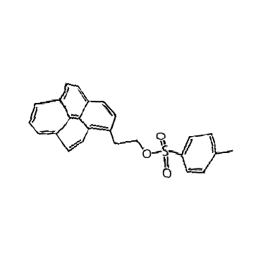 Cc1ccc(S(=O)(=O)OCCc2ccc3ccc4cccc5ccc2c3c45)cc1